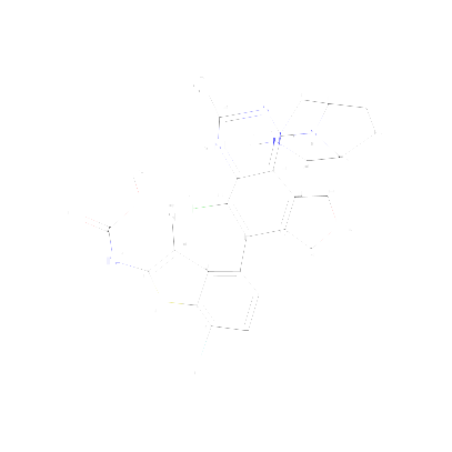 CC(C)(C)OC(=O)Nc1sc2c(F)ccc(-c3c4c(c5c(N6C7CCC6CN(C(=O)O)C7)nc(C#N)nc5c3Cl)COC4)c2c1C#N